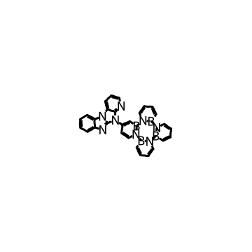 C1=CB2N(C=C1)B1C=CC=CN1B1C=C(n3c4ncccc4n4c5ccccc5nc34)C=CN1B1C=CC=CN21